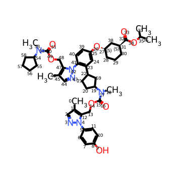 Cc1cnn(-c2ccc(O)cc2)c1COC(=O)N(C)C1CCC(c2cc(O[C@H]3CCC[C@H](C(=O)OC(C)C)C3)ccc2-n2ncc(C)c2COC(=O)N(C)C2CCCC2)C1